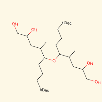 CCCCCCCCCCCCCC(OC(CCCCCCCCCCCCC)C(C)CC(O)CO)C(C)CC(O)CO